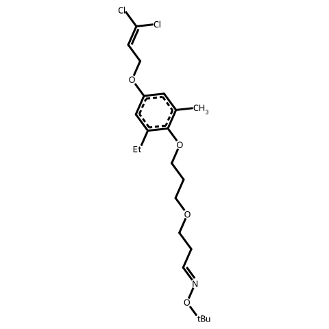 CCc1cc(OCC=C(Cl)Cl)cc(C)c1OCCCOCC/C=N/OC(C)(C)C